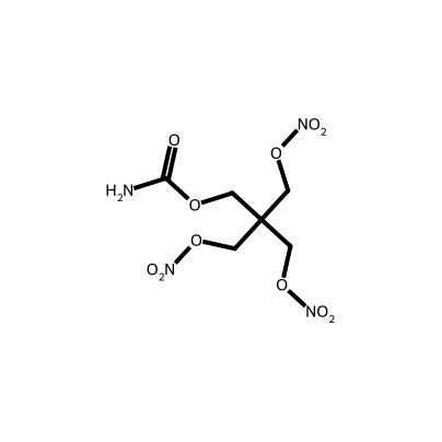 NC(=O)OCC(CO[N+](=O)[O-])(CO[N+](=O)[O-])CO[N+](=O)[O-]